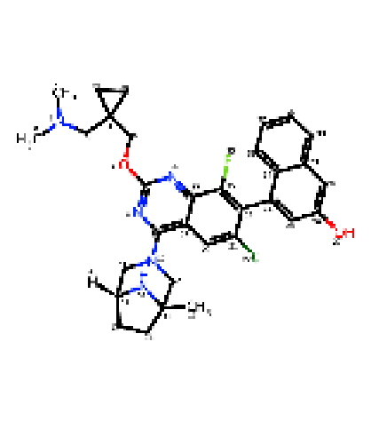 CN(C)CC1(COc2nc(N3C[C@H]4CC[C@@](C)(C3)N4)c3cc(Cl)c(-c4cc(O)cc5ccccc45)c(F)c3n2)CC1